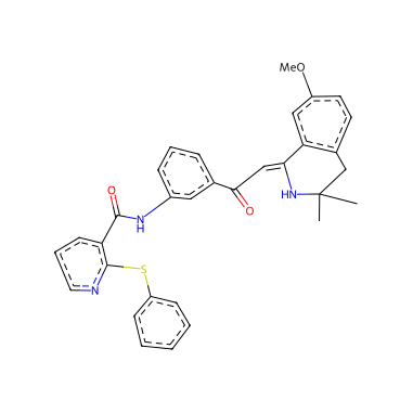 COc1ccc2c(c1)C(=CC(=O)c1cccc(NC(=O)c3cccnc3Sc3ccccc3)c1)NC(C)(C)C2